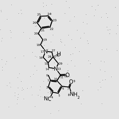 Cc1cc(C#N)cc(C(N)=O)c1C(=O)N1CC2CN(CC[CH]c3ccccc3)C[C@H]2C1